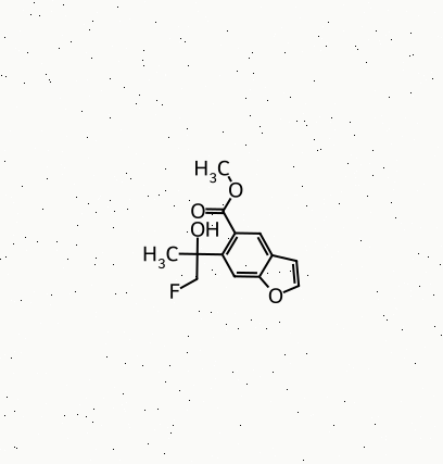 COC(=O)c1cc2ccoc2cc1C(C)(O)CF